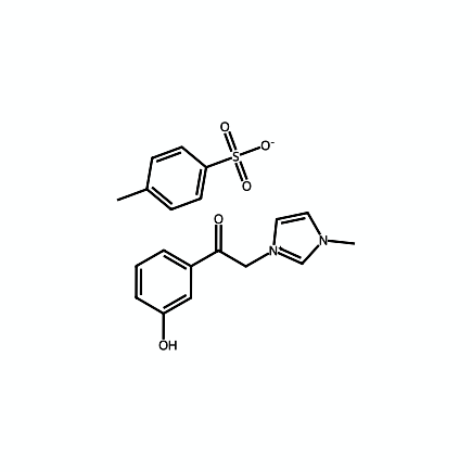 Cc1ccc(S(=O)(=O)[O-])cc1.Cn1cc[n+](CC(=O)c2cccc(O)c2)c1